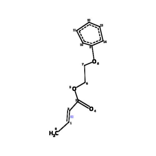 C/C=C/C(=O)OCCOc1ccccc1